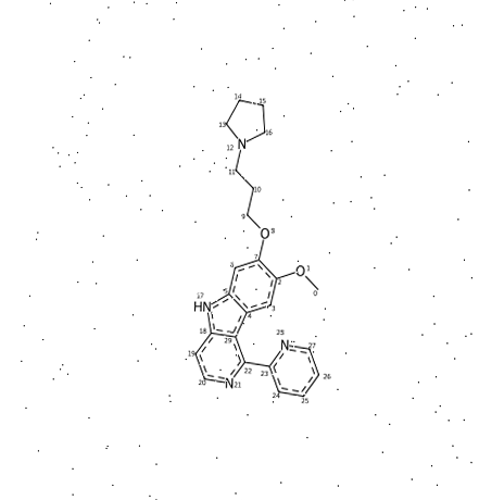 COc1cc2c(cc1OCCCN1CCCC1)[nH]c1ccnc(-c3ccccn3)c12